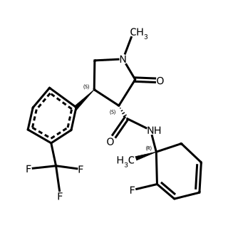 CN1C[C@H](c2cccc(C(F)(F)F)c2)[C@@H](C(=O)N[C@]2(C)CC=CC=C2F)C1=O